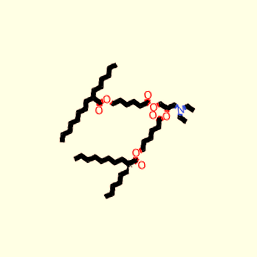 CCCCCCCCC(CCCCCC)C(=O)OCCCCCC(=O)OCC(CN(CC)CC)OC(=O)CCCCCOC(=O)[C@@H](CCCCCC)CCCCCCCC